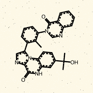 Cc1c(-c2cnc3c(=O)[nH]c4cc(C(C)(C)O)ccc4n23)cccc1-n1cnc2ccccc2c1=O